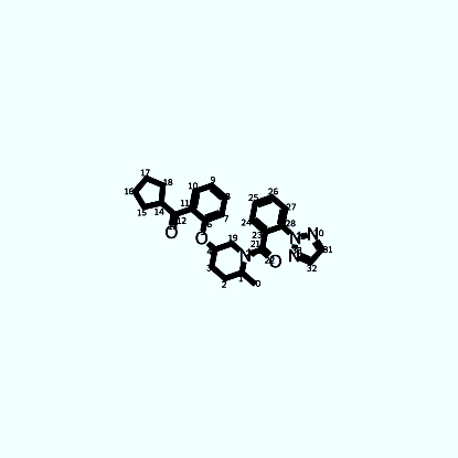 CC1CCC(Oc2ccccc2C(=O)C2CCCC2)CN1C(=O)c1ccccc1-n1nccn1